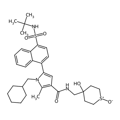 Cc1c(C(=O)NCC2(O)CC[S+]([O-])CC2)cc(-c2ccc(S(=O)(=O)NC(C)(C)C)c3ccccc23)n1CC1CCCCC1